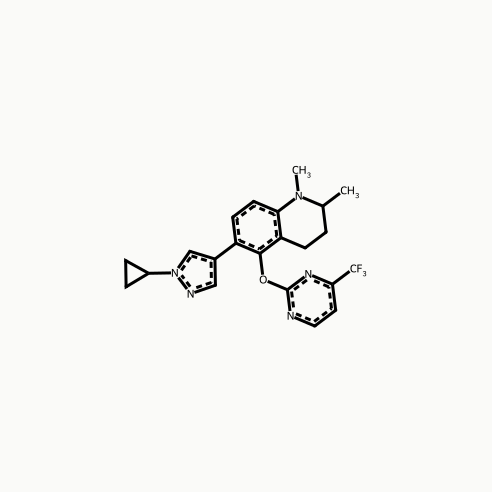 CC1CCc2c(ccc(-c3cnn(C4CC4)c3)c2Oc2nccc(C(F)(F)F)n2)N1C